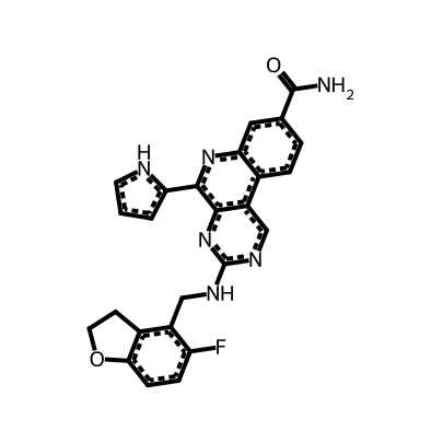 NC(=O)c1ccc2c(c1)nc(-c1ccc[nH]1)c1nc(NCc3c(F)ccc4c3CCO4)ncc12